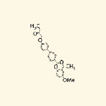 C=CC(=O)COc1ccc(-c2ccc(C(=O)OC(C)c3cccc(OC)c3)cc2)cc1